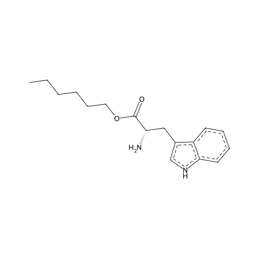 CCCCCCOC(=O)[C@@H](N)Cc1c[nH]c2ccccc12